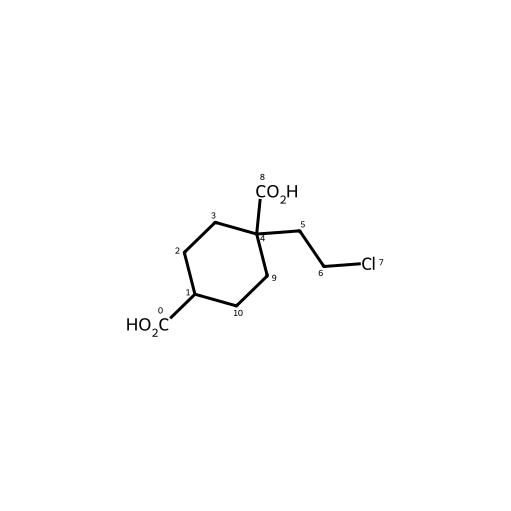 O=C(O)C1CCC(CCCl)(C(=O)O)CC1